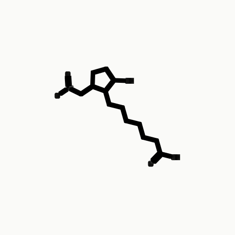 O=C(O)CCCCCCC1C(O)CCC1C[N+](=O)[O-]